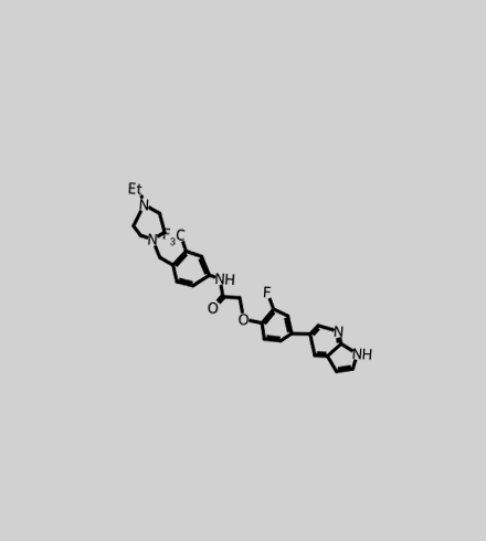 CCN1CCN(Cc2ccc(NC(=O)COc3ccc(-c4cnc5[nH]ccc5c4)cc3F)cc2C(F)(F)F)CC1